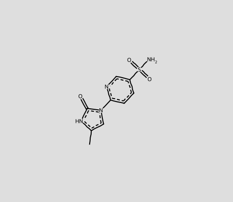 Cc1cn(-c2ccc(S(N)(=O)=O)cn2)c(=O)[nH]1